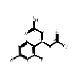 Cc1cc(Br)ccc1N(CC(=O)O)CC(=O)O